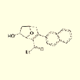 CCC(=O)C1=C(c2ccc3ccccc3c2)CC2CC(O)C1O2